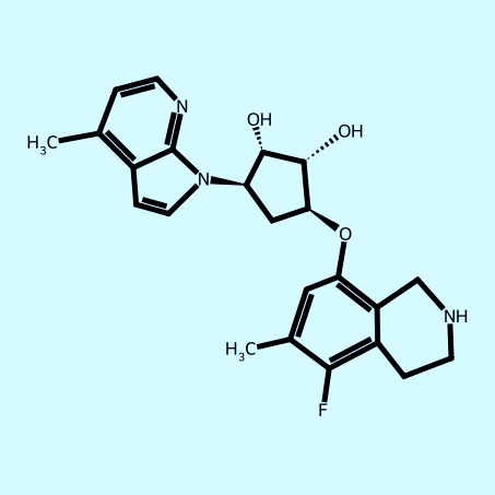 Cc1cc(O[C@H]2C[C@@H](n3ccc4c(C)ccnc43)[C@H](O)[C@@H]2O)c2c(c1F)CCNC2